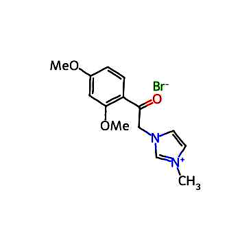 COc1ccc(C(=O)Cn2cc[n+](C)c2)c(OC)c1.[Br-]